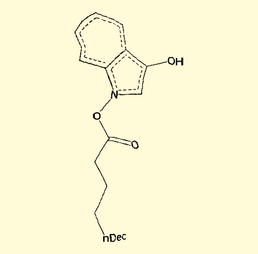 CCCCCCCCCCCCCC(=O)On1cc(O)c2ccccc21